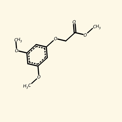 COC(=O)COc1cc(OC)cc(OC)c1